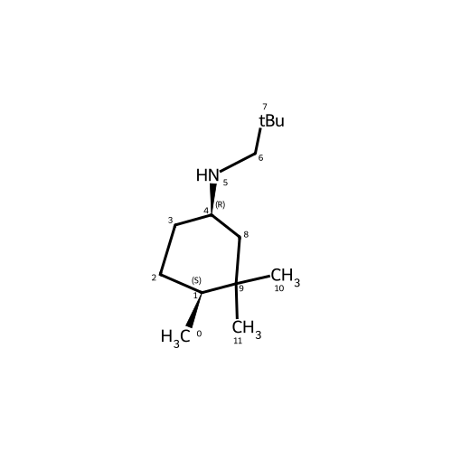 C[C@H]1CC[C@@H](NCC(C)(C)C)CC1(C)C